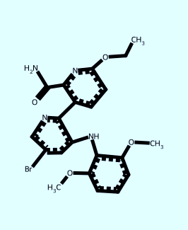 CCOc1ccc(-c2ncc(Br)cc2Nc2c(OC)cccc2OC)c(C(N)=O)n1